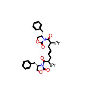 CC(C)C(C/C=C/CC(C(=O)N1C(=O)OC[C@@H]1Cc1ccccc1)C(C)C)C(=O)N1C(=O)OC[C@@H]1Cc1ccccc1